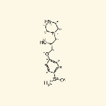 C[S+]([O-])c1ccc(OCC(O)CN2CCNCC2)cc1